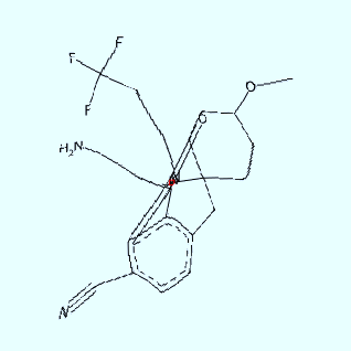 COC1CCC2(CC1)Cc1ccc(C#N)cc1C21N=C(N)N(CC(F)(F)F)C1=O